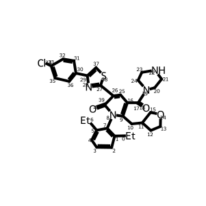 CCc1cccc(CC)c1-n1c(CC2CCOC2)c(C(=O)N2CCNCC2)cc(-c2nc(-c3ccc(Cl)cc3)cs2)c1=O